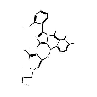 COCCN(C)/C=C(\C=C(\Cl)C=O)NC1C2=CC=C(Cl)C(C)C2=C(C)n2c(-c3ccccc3OC)nc(C(=O)O)c21